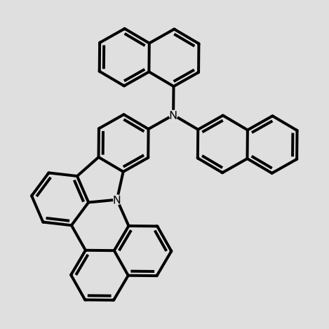 c1ccc2cc(N(c3ccc4c5cccc6c7cccc8cccc(c87)n(c4c3)c65)c3cccc4ccccc34)ccc2c1